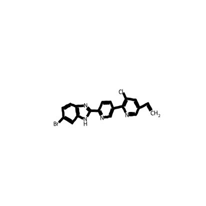 C=Cc1cnc(-c2ccc(-c3nc4ccc(Br)cc4[nH]3)nc2)c(Cl)c1